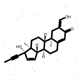 CC#C[C@]1(O)C=C[C@H]2[C@@H]3CCC4=CC(=O)/C(=C\O)C[C@]4(C)[C@H]3CC[C@@]21C